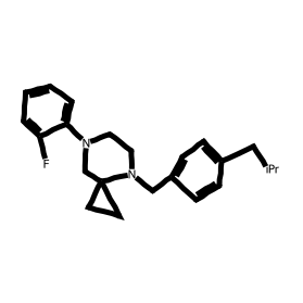 CC(C)Cc1ccc(CN2CCN(c3ccccc3F)CC23CC3)cc1